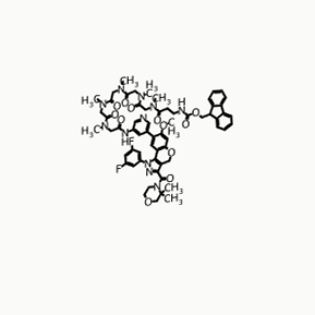 COc1cc2c(cc1-c1cncc(NC(=O)CN(C)C(=O)CN(C)C(=O)CN(C)C(=O)CN(C)C(=O)CN(C)C(=O)CCNC(=O)OCC3c4ccccc4-c4ccccc43)c1)-c1c(c(C(=O)N3CCOCC3(C)C)nn1-c1cc(F)cc(F)c1)CO2